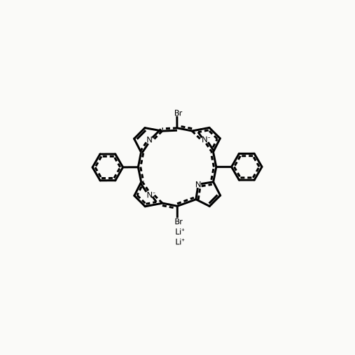 Brc1c2nc(c(-c3ccccc3)c3ccc([n-]3)c(Br)c3nc(c(-c4ccccc4)c4ccc1[n-]4)C=C3)C=C2.[Li+].[Li+]